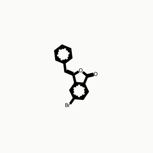 O=C1OC(=Cc2ccccc2)c2cc(Br)ccc21